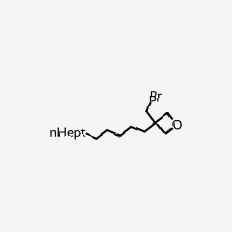 CCCCCCCCCCCCC1(CBr)COC1